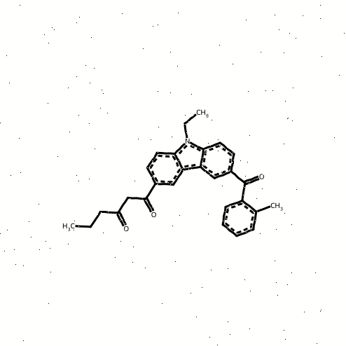 CCCC(=O)CC(=O)c1ccc2c(c1)c1cc(C(=O)c3ccccc3C)ccc1n2CC